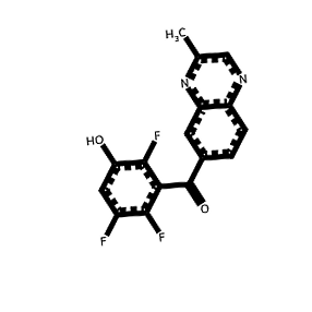 Cc1cnc2ccc(C(=O)c3c(F)c(O)cc(F)c3F)cc2n1